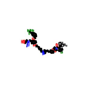 CC(C)C(C(=O)N1CCC2(CC1)Oc1ccc(CCc3cnn(CCCCCCOc4ccc(OCc5ccc(F)c(C(F)(F)F)c5)c(CNCCO)c4)c3)cc1O2)c1ccc(Cl)cc1